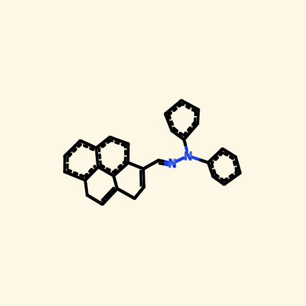 C1=C(/C=N/N(c2ccccc2)c2ccccc2)c2ccc3cccc4c3c2C(=CC4)C1